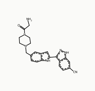 N#Cc1ccc2c(-c3cc4cc(CN5CCN(C(=O)CN)CC5)ccc4[nH]3)n[nH]c2c1